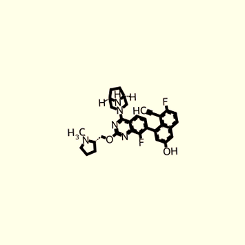 C#Cc1c(F)ccc2cc(O)cc(-c3ccc4c(N5C[C@H]6CC[C@@H](C5)N6)nc(OC[C@@H]5CCCN5C)nc4c3F)c12